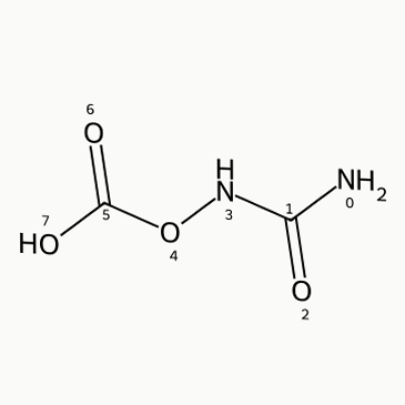 NC(=O)NOC(=O)O